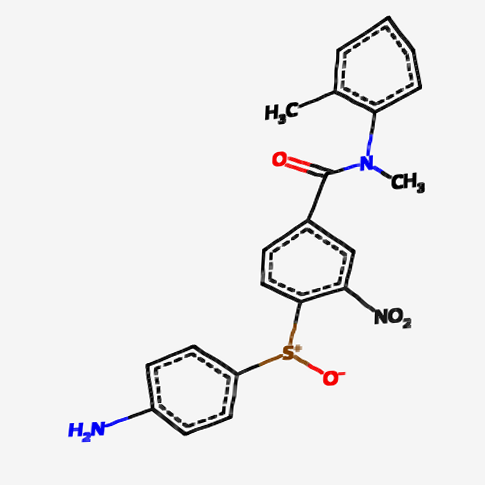 Cc1ccccc1N(C)C(=O)c1ccc([S+]([O-])c2ccc(N)cc2)c([N+](=O)[O-])c1